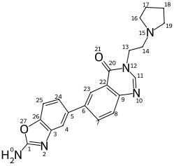 Nc1nc2cc(-c3ccc4ncn(CCN5CCCC5)c(=O)c4c3)ccc2o1